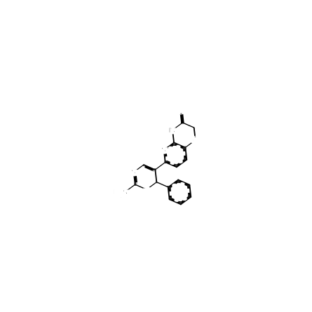 NC1=NC=C(c2ccc3c(n2)NC(=O)CO3)C(c2ccccc2)S1